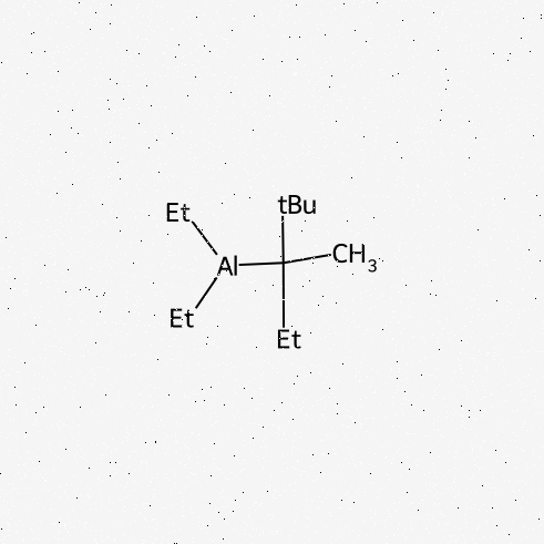 C[CH2][Al]([CH2]C)[C](C)(CC)C(C)(C)C